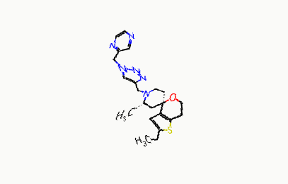 CCc1cc2c(s1)CCO[C@@]21CCN(Cc2cn(Cc3cnccn3)nn2)[C@@H](C)C1